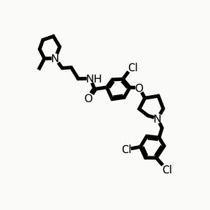 CC1CCCCN1CCCNC(=O)c1ccc(OC2CCN(Cc3cc(Cl)cc(Cl)c3)CC2)c(Cl)c1